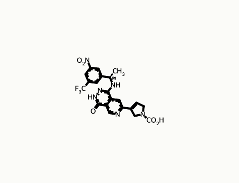 C[C@@H](Nc1n[nH]c(=O)c2cnc(C3=CCN(C(=O)O)C3)cc12)c1cc([N+](=O)[O-])cc(C(F)(F)F)c1